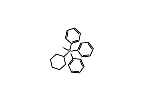 IP(c1ccccc1)(c1ccccc1)(c1ccccc1)C1CCCCC1